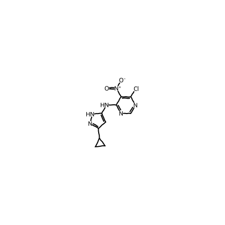 O=[N+]([O-])c1c(Cl)ncnc1Nc1cc(C2CC2)n[nH]1